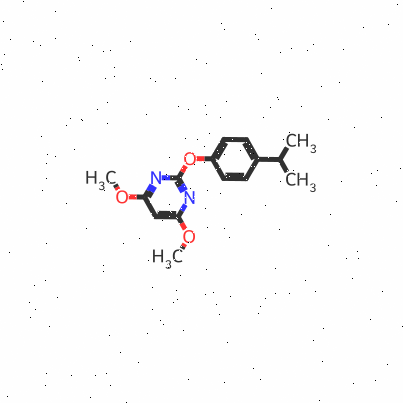 COc1cc(OC)nc(Oc2ccc(C(C)C)cc2)n1